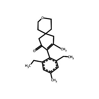 CCc1cc(C)cc(CC)c1C1=C(C)CC2(CCOCC2)CC1=O